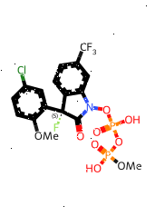 COc1ccc(Cl)cc1[C@]1(F)C(=O)N(OP(=O)(O)OP(=O)(O)OC)c2cc(C(F)(F)F)ccc21